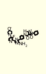 COC1CCN(c2ccnc(-c3cnc(N)c(-c4ccc(NC(=O)c5c(C)n(C)n(-c6ccccc6)c5=O)cc4)n3)c2F)CC1